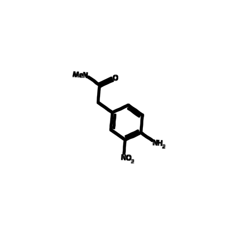 CNC(=O)Cc1ccc(N)c([N+](=O)[O-])c1